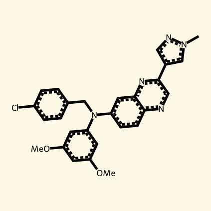 COc1cc(OC)cc(N(Cc2ccc(Cl)cc2)c2ccc3ncc(-c4cnn(C)c4)nc3c2)c1